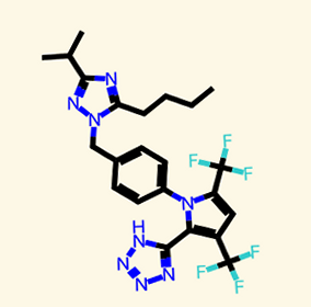 CCCCc1nc(C(C)C)nn1Cc1ccc(-n2c(C(F)(F)F)cc(C(F)(F)F)c2-c2nnn[nH]2)cc1